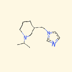 CC(C)N1CCCC(Cn2ccnc2)C1